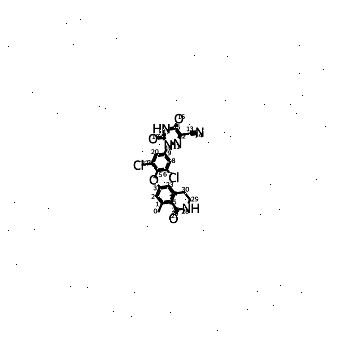 Cc1cc(Oc2c(Cl)cc(-n3nc(C#N)c(=O)[nH]c3=O)cc2Cl)cc2c1C(=O)NCC2